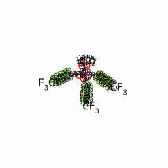 O=C(OC1c2ccccc2C=Cc2ccccc21)c1cc(OCCCC(F)(F)C(F)(F)C(F)(F)C(F)(F)C(F)(F)C(F)(F)C(F)(F)C(F)(F)F)c(OCCCC(F)(F)C(F)(F)C(F)(F)C(F)(F)C(F)(F)C(F)(F)C(F)(F)C(F)(F)F)c(OCCCC(F)(F)C(F)(F)C(F)(F)C(F)(F)C(F)(F)C(F)(F)C(F)(F)C(F)(F)F)c1